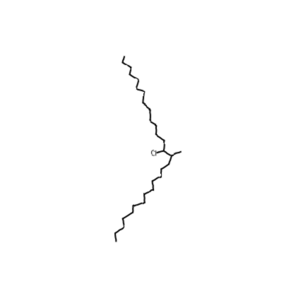 CCCCCCCCCCCCCC(C)C(Cl)CCCCCCCCCCCCC